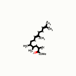 COC(=O)C(CC(C)C(C)CC/C=C(\C)CCC=C(C)C)C(C)=O